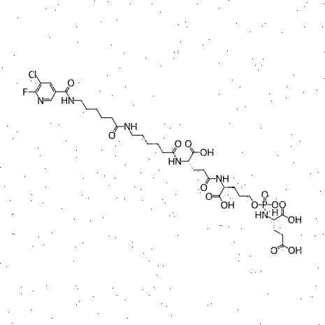 O=C(O)CC[C@H](NP(=O)(O)OCCC[C@H](NC(=O)CC[C@H](NC(=O)CCCCCNC(=O)CCCCCNC(=O)c1cnc(F)c(Cl)c1)C(=O)O)C(=O)O)C(=O)O